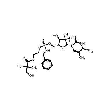 CC1=CN([C@@H]2O[C@H](COP(=O)(NCc3ccccc3)OCCSC(=O)C(C)(C)CO)C(O)[C@]2(C)O)C(=O)NC1N